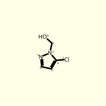 OCn1nccc1Cl